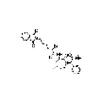 CNC(=O)C(c1ccccc1)N1CC[C@H](C)CC(NC(=O)C(Br)CCCCN2C(=O)c3ccccc3C2=O)C1=O